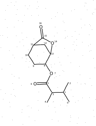 CC(C)C(C)C(=O)OC1CCC2CC1OC2=O